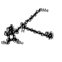 COCCOCCOCCOCCOCCOCCNC(=O)[C@@H](CCCCNC(=O)CCC(C(=O)Oc1c(F)c(F)cc(F)c1F)N1CCN(CC(=O)OC(C)(C)C)CCN(CC(=O)OC(C)(C)C)CCN(CC(=O)OC(C)(C)C)CC1)NC(=O)CCOCCOCCOCCOCCOCCC(=O)Oc1c(F)c(F)cc(F)c1F